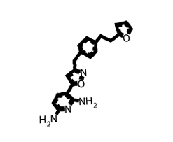 Nc1ccc(-c2cc(Cc3ccc(CCc4ccco4)cc3)no2)c(N)n1